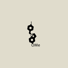 COc1ccc2c(ccn2Cc2ccc(I)cc2)c1